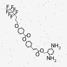 Nc1ccc(N)c(COC(=O)/C=C/c2ccc(OC(=O)c3ccc(OCCCC(F)(F)C(F)(F)C(F)(F)F)cc3)cc2)c1